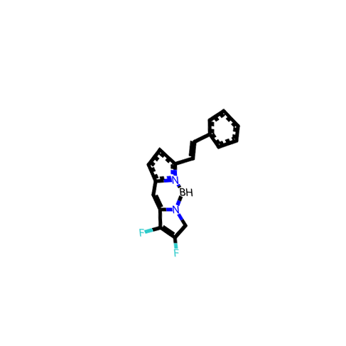 FC1=C(F)C2=Cc3ccc(C=Cc4ccccc4)n3BN2C1